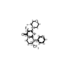 C[C@@H]1COCCN1c1nc2n(c(=O)c1F)CC[C@@H](C(F)(F)F)N2c1cccnc1